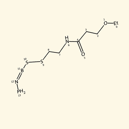 CCOCCC(=O)NCCSS/B=N/P